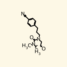 CN(C)C(=O)N(CC=O)CCCc1ccc(C#N)cc1